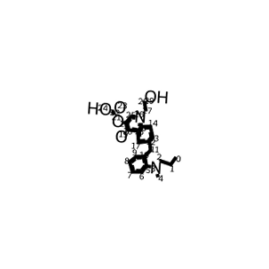 CCCN(C)c1ccccc1Cc1ccc2c(c1)c(=O)c(OC(=O)O)cn2CCO